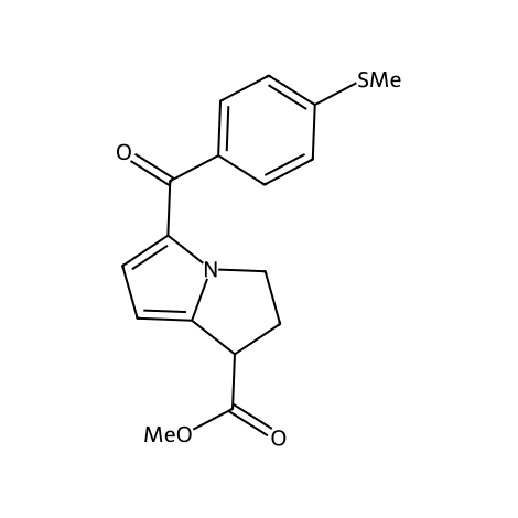 COC(=O)C1CCn2c(C(=O)c3ccc(SC)cc3)ccc21